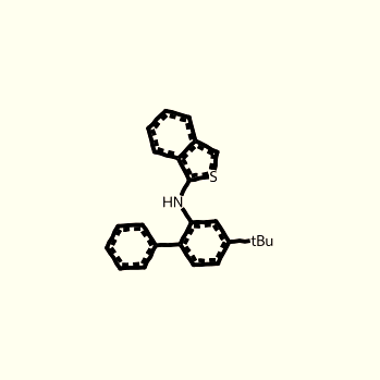 CC(C)(C)c1ccc(-c2ccccc2)c(Nc2scc3ccccc23)c1